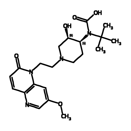 COc1cnc2ccc(=O)n(CCN3CC[C@H](N(C(=O)O)C(C)(C)C)[C@H](O)C3)c2c1